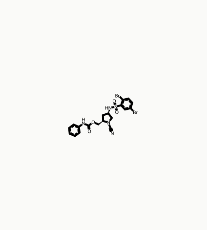 N#CN1C[C@H](NS(=O)(=O)c2cc(Br)ccc2Br)C[C@@H]1COC(=O)Nc1ccccc1